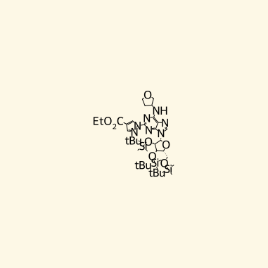 CCOC(=O)c1cnn(-c2nc(NC3CCOC3)c3ncn([C@@H]4O[C@H](CO[Si](C)(C)C(C)(C)C)[C@@H](O[Si](C)(C)C(C)(C)C)[C@H]4O[Si](C)(C)C(C)(C)C)c3n2)c1